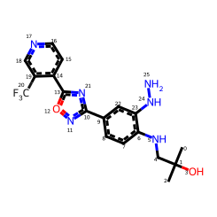 CC(C)(O)CNc1ccc(-c2noc(-c3ccncc3C(F)(F)F)n2)cc1NN